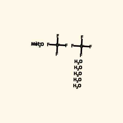 F[B-](F)(F)F.F[B-](F)(F)F.O.O.O.O.O.O.[Mn+2]